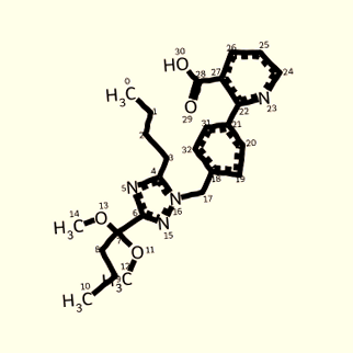 CCCCc1nc(C(CCC)(OC)OC)nn1Cc1ccc(-c2ncccc2C(=O)O)cc1